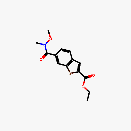 CCOC(=O)c1cc2ccc(C(=O)N(C)OC)cc2s1